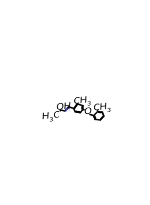 Cc1cc(OCc2ccccc2C)ccc1/C=C/C(C)O